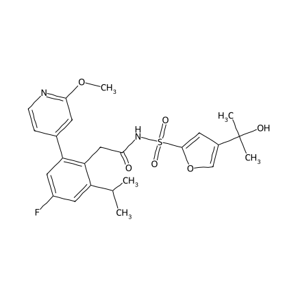 COc1cc(-c2cc(F)cc(C(C)C)c2CC(=O)NS(=O)(=O)c2cc(C(C)(C)O)co2)ccn1